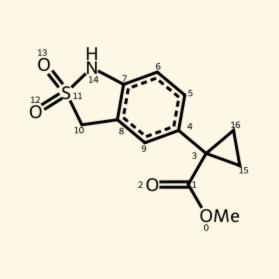 COC(=O)C1(c2ccc3c(c2)CS(=O)(=O)N3)CC1